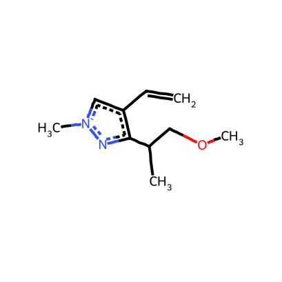 C=Cc1cn(C)nc1C(C)COC